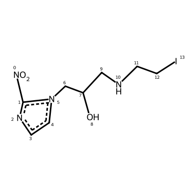 O=[N+]([O-])c1nccn1CC(O)CNCCI